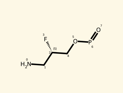 NC[C@H](F)COP=O